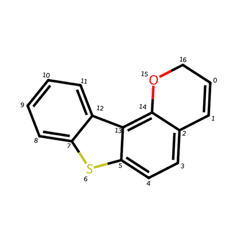 C1=Cc2ccc3sc4ccccc4c3c2OC1